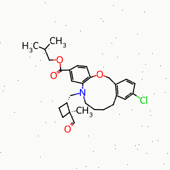 CC(C)COC(=O)c1ccc2c(c1)N(C[C@H]1CC[C@]1(C)C=O)CCCCc1cc(Cl)ccc1CO2